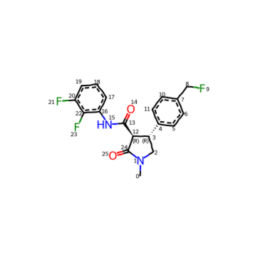 CN1C[C@@H](c2ccc(CF)cc2)[C@H](C(=O)Nc2cccc(F)c2F)C1=O